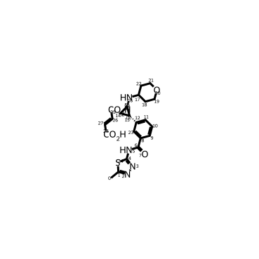 Cc1nnc(NC(=O)c2cccc([C@@H]3C[C@H]3NC3CCOCC3)c2)s1.O=C(O)C=CC(=O)O